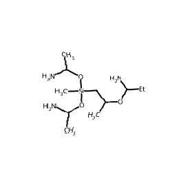 CCC(N)OC(C)C[Si](C)(OC(C)N)OC(C)N